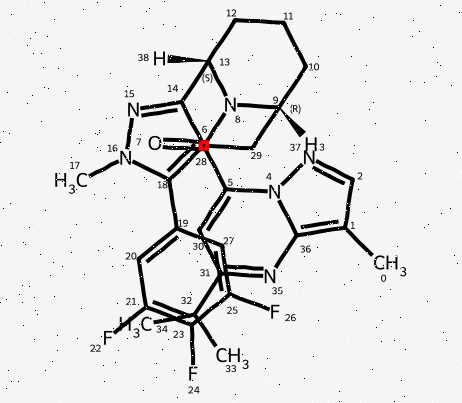 Cc1cnn2c(C(=O)N3[C@@H]4CCC[C@H]3c3nn(C)c(-c5cc(F)c(F)c(F)c5)c3C4)cc(C(C)C)nc12